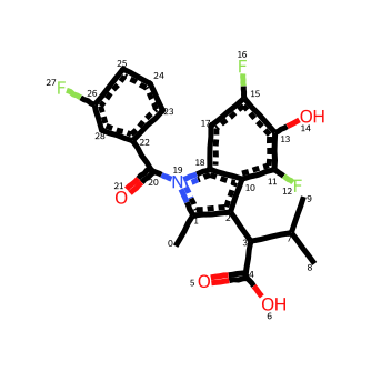 Cc1c(C(C(=O)O)C(C)C)c2c(F)c(O)c(F)cc2n1C(=O)c1cccc(F)c1